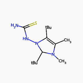 CC1=C(C(C)(C)C)N(NC(N)=S)C(C(C)(C)C)N1C